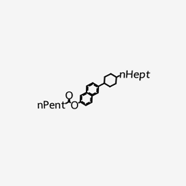 CCCCCCCC1CCC(c2ccc3cc(OC(=O)CCCCC)ccc3c2)CC1